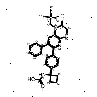 O=C(O)NC1(c2ccc(-c3nc4c(cc3-c3ccccc3)N(CC(F)(F)F)C(=O)CO4)cc2)CCC1